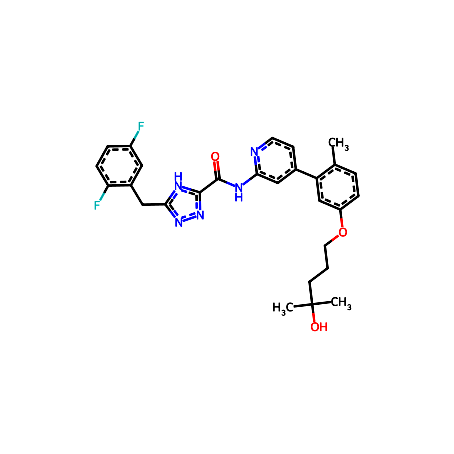 Cc1ccc(OCCCC(C)(C)O)cc1-c1ccnc(NC(=O)c2nnc(Cc3cc(F)ccc3F)[nH]2)c1